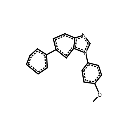 COc1ccc(-n2cnc3ccc(-c4ccccc4)cc32)cc1